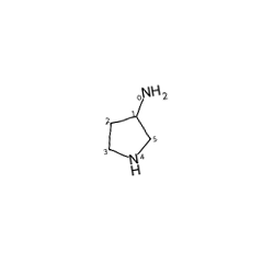 NC1[CH]CNC1